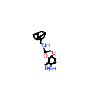 c1cc2[nH]ncc2c2c1OCC(CNCC13CC4CC(CC(C4)C1)C3)O2